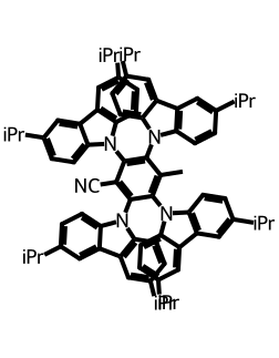 Cc1c(-n2c3ccc(C(C)C)cc3c3cc(C(C)C)ccc32)c(-n2c3ccc(C(C)C)cc3c3cc(C(C)C)ccc32)c(C#N)c(-n2c3ccc(C(C)C)cc3c3cc(C(C)C)ccc32)c1-n1c2ccc(C(C)C)cc2c2cc(C(C)C)ccc21